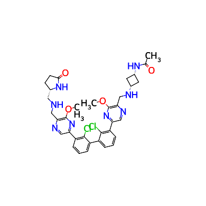 COc1nc(-c2cccc(-c3cccc(-c4cnc(CN[C@H]5C[C@@H](NC(C)=O)C5)c(OC)n4)c3Cl)c2Cl)cnc1CNC[C@@H]1CCC(=O)N1